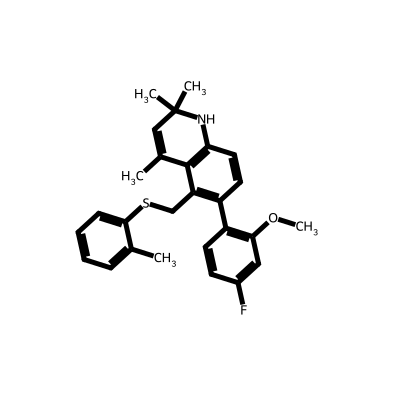 COc1cc(F)ccc1-c1ccc2c(c1CSc1ccccc1C)C(C)=CC(C)(C)N2